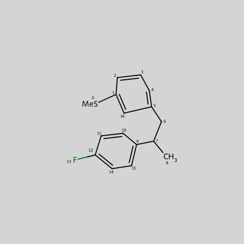 CSc1cccc(CC(C)c2ccc(F)cc2)c1